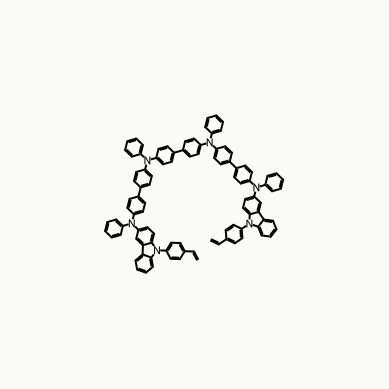 C=Cc1ccc(-n2c3ccccc3c3cc(N(c4ccccc4)c4ccc(-c5ccc(N(c6ccccc6)c6ccc(-c7ccc(N(c8ccccc8)c8ccc(-c9ccc(N(c%10ccccc%10)c%10ccc%11c(c%10)c%10ccccc%10n%11-c%10ccc(C=C)cc%10)cc9)cc8)cc7)cc6)cc5)cc4)ccc32)cc1